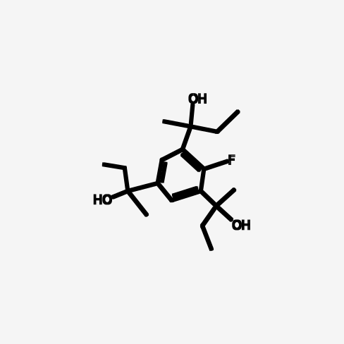 CCC(C)(O)c1cc(C(C)(O)CC)c(F)c(C(C)(O)CC)c1